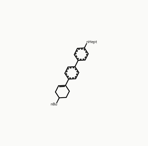 CCCCCCCc1ccc(-c2ccc(C3=CCC(CCCC)CC3)cc2)cc1